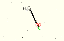 CCCCCCCCCCCCCCOC(=O)CCl